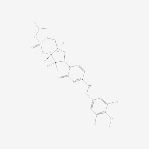 COc1c(Cl)cc(CNc2ccn(C3O[C@@H]4COP(=O)(OC(C)C)O[C@H]4C3(F)F)c(=O)n2)cc1Cl